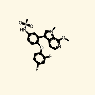 COc1nccc2c(-c3cc(NS(C)(=O)=O)ccc3Oc3ccc(F)cc3F)cn(C)c12